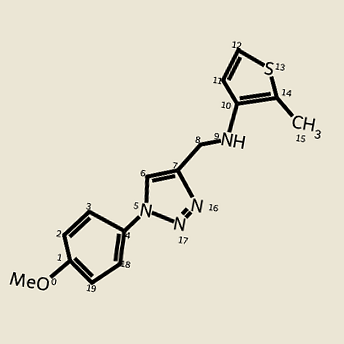 COc1ccc(-n2cc(CNc3ccsc3C)nn2)cc1